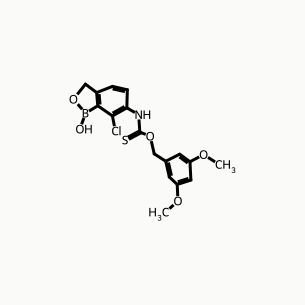 COc1cc(COC(=S)Nc2ccc3c(c2Cl)B(O)OC3)cc(OC)c1